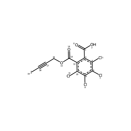 O=C(O)c1c(Cl)c(Cl)c(Cl)c(Cl)c1C(=O)OCC#CI